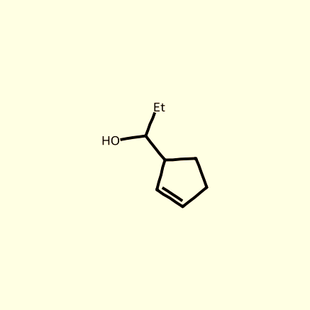 CCC(O)C1C=CCC1